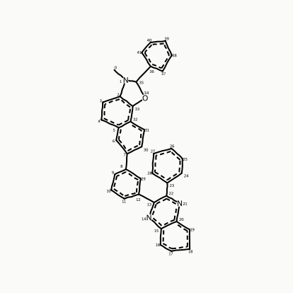 CN1c2ccc3cc(-c4cccc(-c5nc6ccccc6nc5-c5ccccc5)c4)ccc3c2OC1c1ccccc1